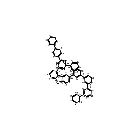 c1ccc(-c2ccc(-c3nc(-c4ccccc4)nc(-c4cccc5oc6ccc(-c7cccc(-c8cccc(-c9cccc(-c%10ccccc%10)c9)c8)c7)cc6c45)n3)cc2)cc1